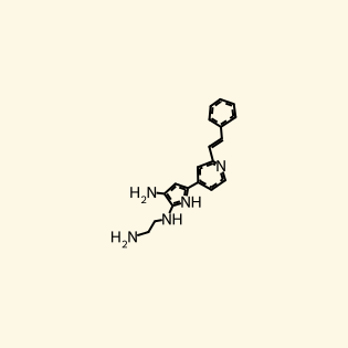 NCCNc1[nH]c(-c2ccnc(/C=C/c3ccccc3)c2)cc1N